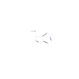 FC(F)n1ccc2c(Cl)cncc21